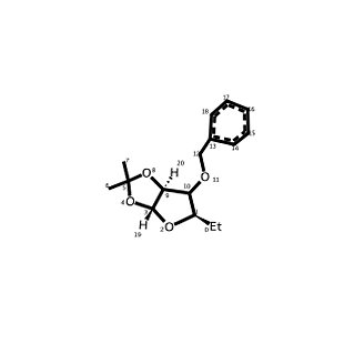 CC[C@H]1O[C@@H]2OC(C)(C)O[C@H]2C1OCc1ccccc1